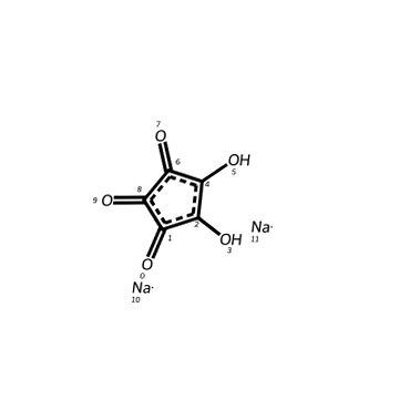 O=c1c(O)c(O)c(=O)c1=O.[Na].[Na]